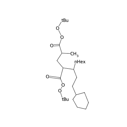 CCCCCCC(CCC1CCCCC1)C(CC(C)C(=O)OOC(C)(C)C)C(=O)OOC(C)(C)C